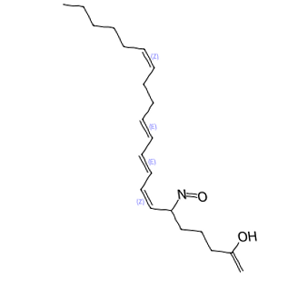 C=C(O)CCCC(\C=C/C=C/C=C/CC/C=C\CCCCC)N=O